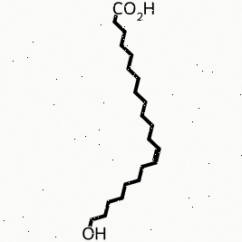 O=C(O)CCCCCCCCCCC/C=C\CCCCCCCO